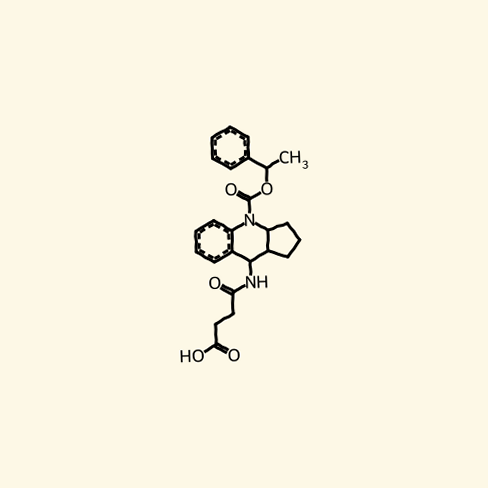 CC(OC(=O)N1c2ccccc2C(NC(=O)CCC(=O)O)C2CCCC21)c1ccccc1